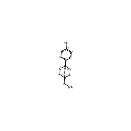 CCC12CCC(c3ccc(Cl)cc3)(OC1)OC2